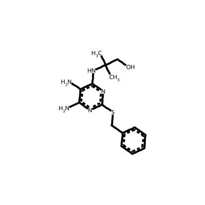 CC(C)(CO)Nc1nc(SCc2ccccc2)nc(N)c1N